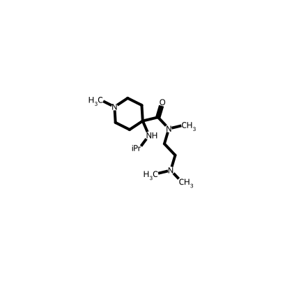 CC(C)NC1(C(=O)N(C)CCN(C)C)CCN(C)CC1